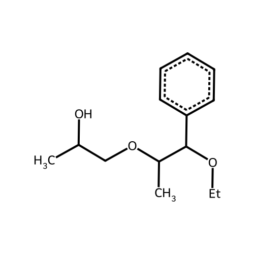 CCOC(c1ccccc1)C(C)OCC(C)O